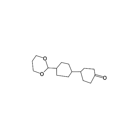 O=C1CCC(C2CCC(C3OCCCO3)CC2)CC1